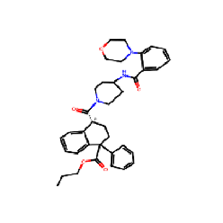 CCCOC(=O)C1(c2ccccc2)CC[C@@H](C(=O)N2CCC(NC(=O)c3ccccc3N3CCOCC3)CC2)c2ccccc21